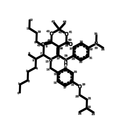 CCCCCC(C)C(CCCCC)N(Cc1ccc(OCCC(C)C)cc1)C(Nc1ccc(N(C)C)cc1)=C1C(=O)OC(C)(C)OC1=O